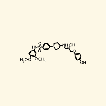 COc1ccc(NS(=O)(=O)c2ccc(N3CCC(NC[C@H](O)COc4ccc(O)cc4)CC3)cc2)cc1OC